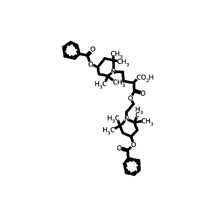 CC1(C)CC(OC(=O)c2ccccc2)CC(C)(C)N1CCOC(=O)C(CCN1C(C)(C)CC(OC(=O)c2ccccc2)CC1(C)C)C(=O)O